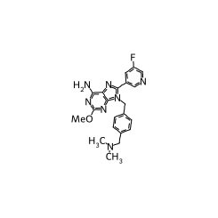 COc1nc(N)c2nc(-c3cncc(F)c3)n(Cc3ccc(CN(C)C)cc3)c2n1